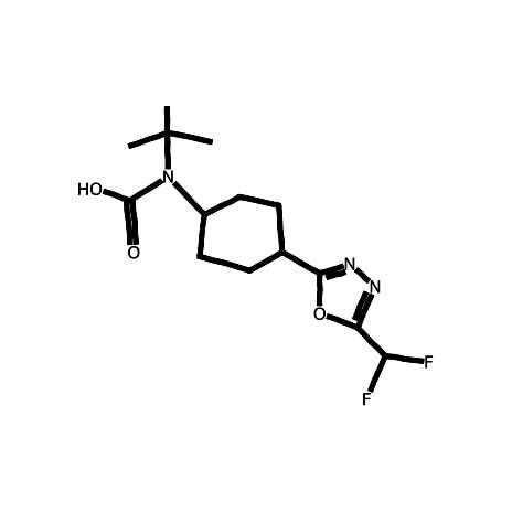 CC(C)(C)N(C(=O)O)C1CCC(c2nnc(C(F)F)o2)CC1